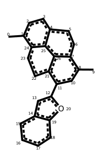 Cc1ccc2ccc3c(C)cc(-c4cc5ccccc5o4)c4ccc1c2c34